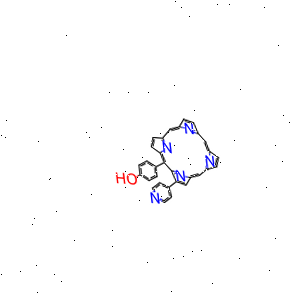 Oc1ccc(C2=C3C=CC(=N3)C=C3C=CC(=N3)C=C3C=CC(=N3)C=C3C=C(c4ccncc4)C2=N3)cc1